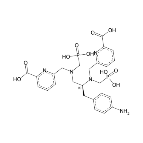 Nc1ccc(C[C@@H](CN(Cc2cccc(C(=O)O)n2)CP(=O)(O)O)N(Cc2cccc(C(=O)O)n2)CP(=O)(O)O)cc1